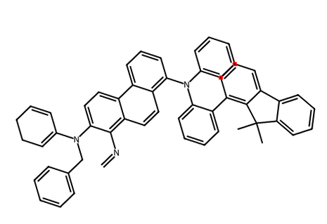 C=Nc1c(N(Cc2ccccc2)C2=CCCC=C2)ccc2c1ccc1c(N(c3ccccc3)c3ccccc3-c3cccc4c3C(C)(C)c3ccccc3-4)cccc12